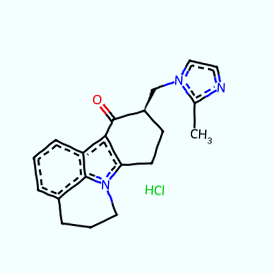 Cc1nccn1C[C@H]1CCc2c(c3cccc4c3n2CCC4)C1=O.Cl